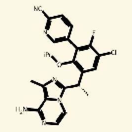 Cc1nc([C@@H](C)c2cc(Cl)c(F)c(-c3ccc(C#N)nc3)c2OC(C)C)n2ccnc(N)c12